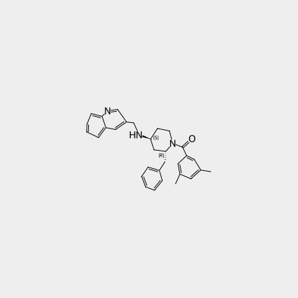 Cc1cc(C)cc(C(=O)N2CC[C@H](NCc3cnc4ccccc4c3)C[C@H]2Cc2ccccc2)c1